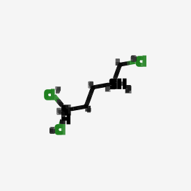 ClC[SiH2]CC[SiH](Cl)Cl